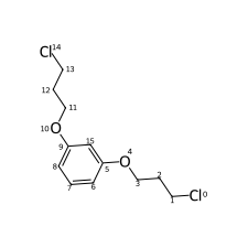 ClCCCOc1cccc(OCCCCl)c1